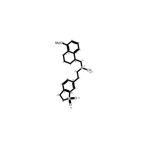 COc1cccc2c1CCCC2CN(C)CCc1ccc2c(c1)S(=O)(=O)CC2